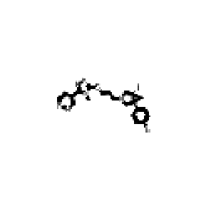 Cn1c(SCCCN2C[C@@H]3C[C@]3(c3ccc(Br)cc3)C2)nnc1-c1ccnnc1